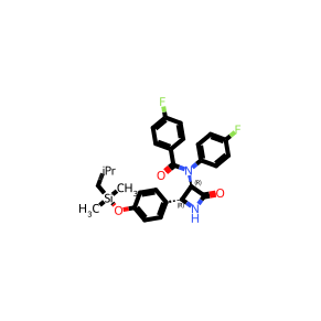 CC(C)C[Si](C)(C)Oc1ccc([C@H]2NC(=O)[C@@H]2N(C(=O)c2ccc(F)cc2)c2ccc(F)cc2)cc1